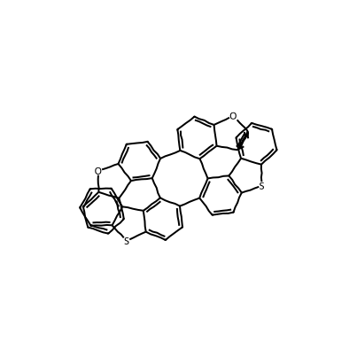 c1ccc2c(c1)oc1ccc3c(c12)-c1c(ccc2sc4ccccc4c12)-c1ccc2sc4ccccc4c2c1-c1c-3ccc2oc3ccccc3c12